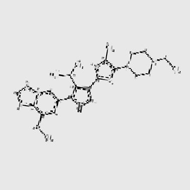 CCN1CCN(c2sc(-c3n[nH]c(-c4cc(OC)c5ncnn5c4)c3C(C)C)nc2C)CC1